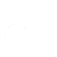 CCc1cc(-c2ccc(-c3ccc(C(=O)O)cc3)[nH]2)nn1CC(F)(F)F